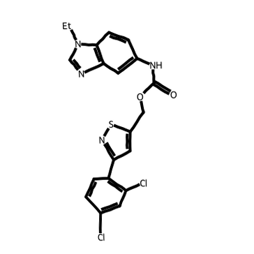 CCn1cnc2cc(NC(=O)OCc3cc(-c4ccc(Cl)cc4Cl)ns3)ccc21